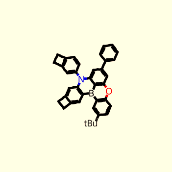 CC(C)(C)c1ccc2c(c1)B1c3cc4c(cc3N(c3ccc5c(c3)CC5)c3cc(-c5ccccc5)cc(c31)O2)CC4